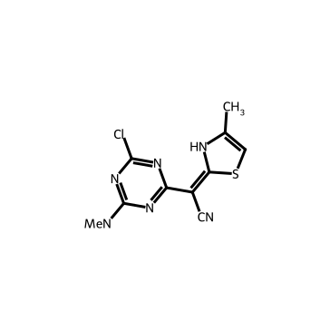 CNc1nc(Cl)nc(C(C#N)=C2NC(C)=CS2)n1